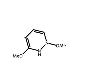 COC1=[C]C=CN(OC)N1